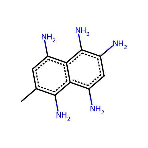 Cc1cc(N)c2c(N)c(N)cc(N)c2c1N